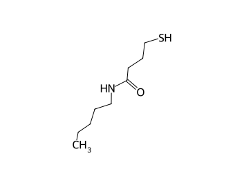 CCCCCNC(=O)CCCS